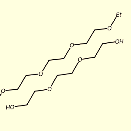 CCOCCOCCOCCOCC.OCCOCCOCCO